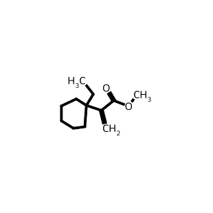 C=C(C(=O)OC)C1(CC)CCCCC1